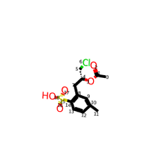 CC(=O)O[C@@H](CCl)Cc1cc(C)ccc1S(=O)(=O)O